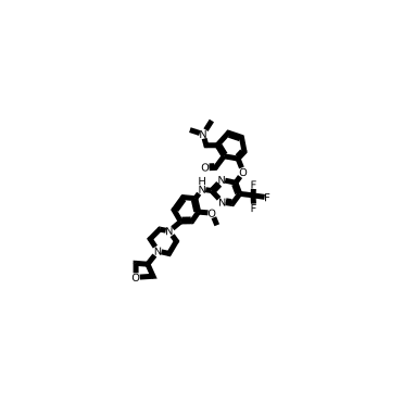 COc1cc(N2CCN(C3COC3)CC2)ccc1Nc1ncc(C(F)(F)F)c(Oc2cccc(CN(C)C)c2C=O)n1